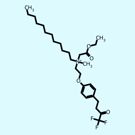 CCCCCCCCCCCC[N+](C)(CCOc1ccc(CCC(=O)C(F)(F)F)cc1)CC(=O)OCC